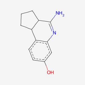 NC1=Nc2cc(O)ccc2C2CCCC12